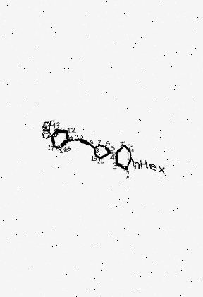 CCCCCC[C@H]1CC[C@H](C2CCC(C#Cc3ccc(OC(F)(F)F)cc3)CC2)CC1